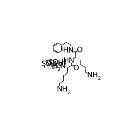 CS(=O)(=O)O.CS(=O)(=O)O.CS(=O)(=O)O.C[C@@H](Cc1ccccc1)NC(=O)[C@H](CCCCN)NC(=O)[C@@H](N)CCCCN